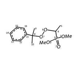 COP(=O)(OC)C(C)OOC(C)(C)c1ccccc1